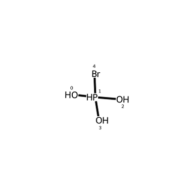 O[PH](O)(O)Br